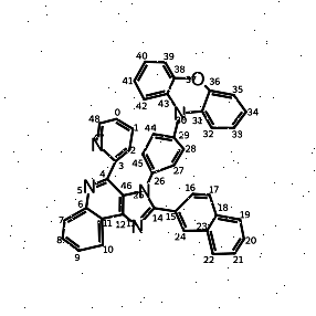 c1ccc(-c2nc3ccccc3c3nc(-c4ccc5ccccc5c4)n(-c4ccc(N5c6ccccc6Oc6ccccc65)cc4)c23)nc1